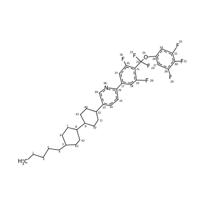 CCCCCC1CCC(C2CCC(c3ccc(-c4cc(F)c(C(F)(F)Oc5cc(F)c(F)c(F)c5)c(F)c4)nc3)CC2)CC1